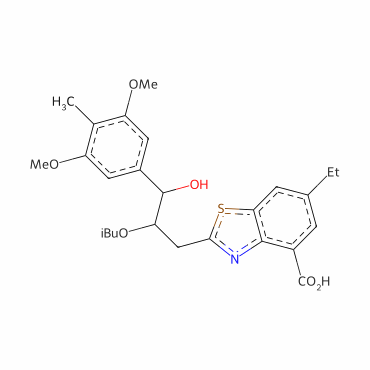 CCc1cc(C(=O)O)c2nc(CC(OCC(C)C)C(O)c3cc(OC)c(C)c(OC)c3)sc2c1